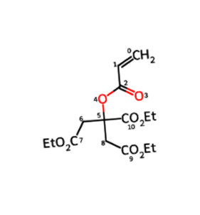 C=CC(=O)OC(CC(=O)OCC)(CC(=O)OCC)C(=O)OCC